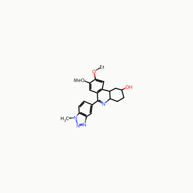 CCOc1cc2c(cc1OC)C(c1ccc3c(c1)nnn3C)=NC1CCC(O)CC21